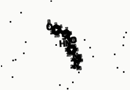 COc1ccc(-c2ccc(C(=O)Nc3ccc(N4CCC(N(C)C)C4)cc3)s2)cc1